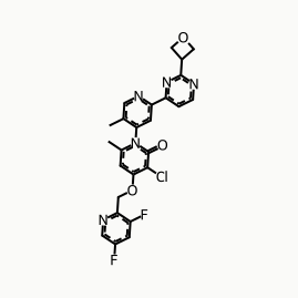 Cc1cnc(-c2ccnc(C3COC3)n2)cc1-n1c(C)cc(OCc2ncc(F)cc2F)c(Cl)c1=O